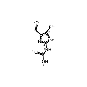 O=Cc1nc(NC(=O)O)sc1F